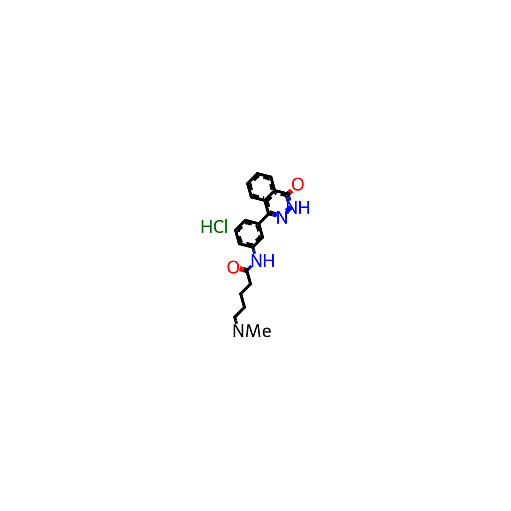 CNCCCCC(=O)Nc1cccc(-c2n[nH]c(=O)c3ccccc23)c1.Cl